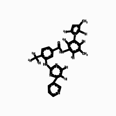 [2H]c1nc(Nc2cc(C(=O)Nc3c([2H])c(C)c([2H])c(-n4c([2H])cc(C)c4[2H])c3[2H])ccc2C([2H])([2H])[2H])nc(-c2cccnc2)c1[2H]